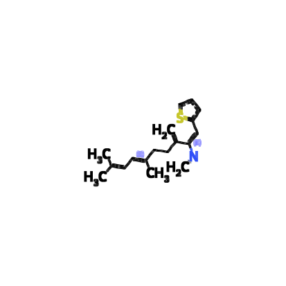 C=N/C(=C/c1cccs1)C(=C)CC/C(C)=C/C=C(C)C